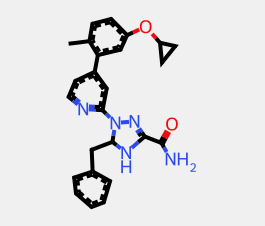 Cc1ccc(OC2CC2)cc1-c1ccnc(N2N=C(C(N)=O)NC2Cc2ccccc2)c1